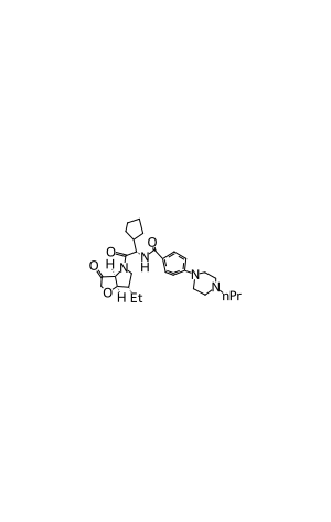 CCCN1CCN(c2ccc(C(=O)N[C@H](C(=O)N3C[C@H](CC)[C@H]4OCC(=O)[C@H]43)C3CCCC3)cc2)CC1